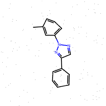 Cc1cccc(-n2ncc(-c3ccccc3)n2)c1